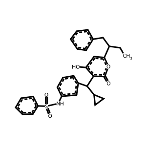 CCC(Cc1ccccc1)c1cc(O)c(C(c2cccc(NS(=O)(=O)c3ccccc3)c2)C2CC2)c(=O)o1